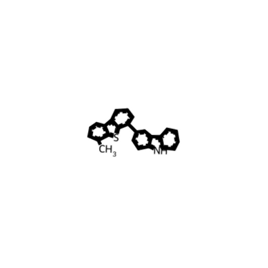 Cc1cccc2c1sc1c(-c3ccc4[nH]c5ccccc5c4c3)cccc12